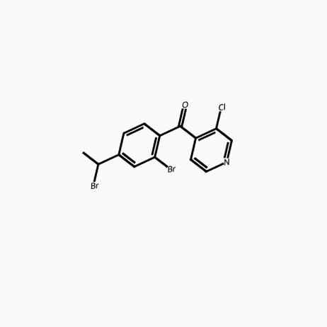 CC(Br)c1ccc(C(=O)c2ccncc2Cl)c(Br)c1